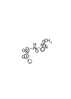 COc1cnc2cccc(CC(=O)NCCC3CN(C4=COC=C(C5=CC=CCC5)O4)C(=O)O3)c2n1